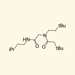 CC(C)CCNC(=O)CN(CCC(C)(C)C)C(=O)CC(C)(C)C